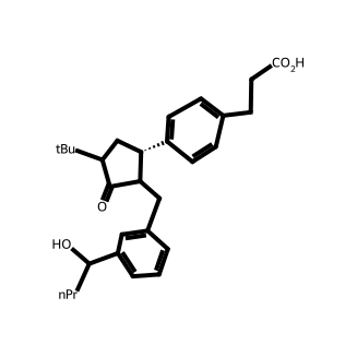 CCCC(O)c1cccc(CC2C(=O)C(C(C)(C)C)C[C@@H]2c2ccc(CCC(=O)O)cc2)c1